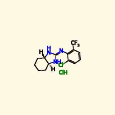 Cl.FC(F)(F)c1cccc(Cl)c1N=C1N[C@H]2CCCC[C@@H]2N1